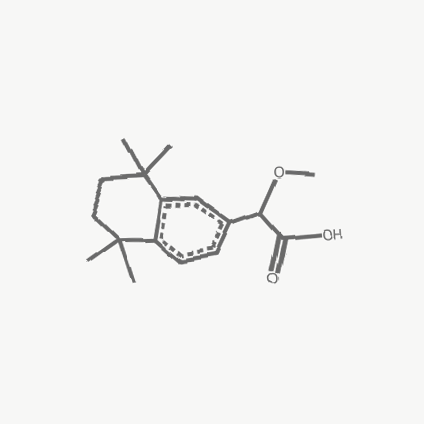 COC(C(=O)O)c1ccc2c(c1)C(C)(C)CCC2(C)C